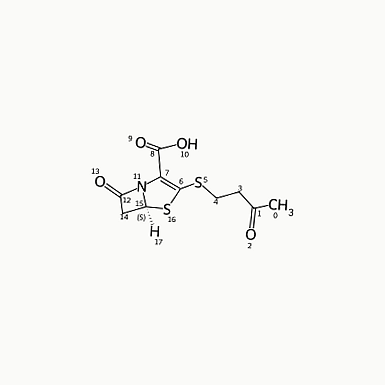 CC(=O)CCSC1=C(C(=O)O)N2C(=O)C[C@@H]2S1